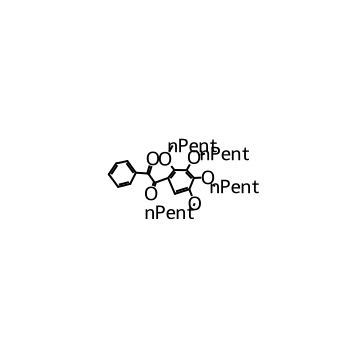 CCCCCOc1cc(C(=O)C(=O)c2ccccc2)c(OCCCCC)c(OCCCCC)c1OCCCCC